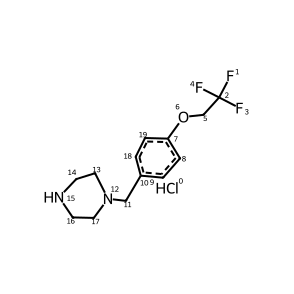 Cl.FC(F)(F)COc1ccc(CN2CCNCC2)cc1